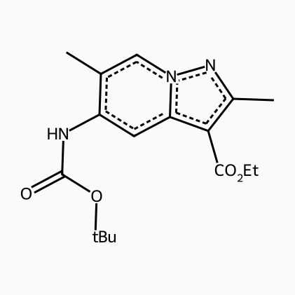 CCOC(=O)c1c(C)nn2cc(C)c(NC(=O)OC(C)(C)C)cc12